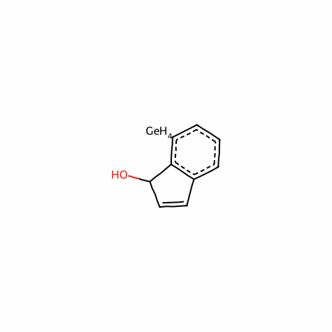 OC1C=Cc2ccccc21.[GeH4]